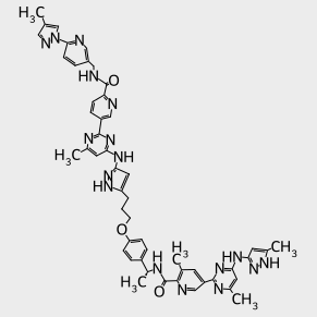 Cc1cnn(-c2ccc(CNC(=O)c3ccc(-c4nc(C)cc(Nc5cc(CCCOc6ccc([C@H](C)NC(=O)c7ncc(-c8nc(C)cc(Nc9cc(C)[nH]n9)n8)cc7C)cc6)[nH]n5)n4)cn3)cn2)c1